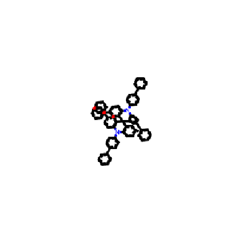 Cc1ccc2c(c1)C1(c3cc(-c4ccccc4)ccc3N2c2ccc(-c3ccccc3)cc2)c2cc(-c3ccccc3)ccc2N(c2ccc(-c3ccccc3)cc2)c2ccc(-c3ccccc3)cc21